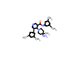 Cc1cc(C)cc(NC(=O)c2cncc(-c3cc(C)cc(C)c3)c2N2CCC(C)(N)CC2)c1